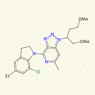 CCc1cc(Cl)c2c(c1)CCN2c1nc(C)cc2c1nnn2C(CCOC)COC